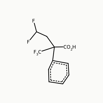 O=C(O)C(CC(F)F)(c1ccccc1)C(F)(F)F